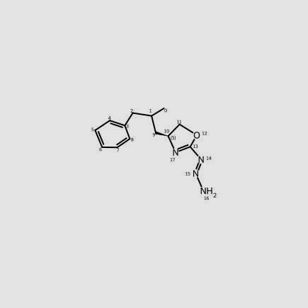 CC(Cc1ccccc1)C[C@H]1COC(N=NN)=N1